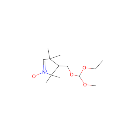 CCOC(OC)OCC1C(C)(C)C=[N+]([O-])C1(C)C